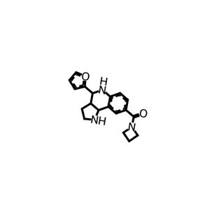 O=C(c1ccc2c(c1)C1NCCC1C(c1ccco1)N2)N1CCC1